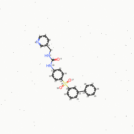 O=C(NCc1cccnc1)Nc1ccc(S(=O)(=O)c2cccc(-c3ccccc3)c2)cc1